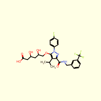 CC(C)c1c(C(=O)NCc2cccc(C(F)(F)F)c2)nn(-c2ccc(F)cc2)c1OCC(O)CC(O)CC(=O)O